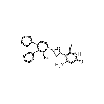 CC(C)(C)c1c(-c2ccccc2)c(-c2ccccc2)cc[si]1N1CC(n2c(N)cc(=O)[nH]c2=O)O1